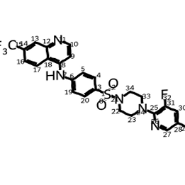 O=S(=O)(c1ccc(Nc2ccnc3cc(C(F)(F)F)ccc23)cc1)N1CCN(c2ncc(F)cc2F)CC1